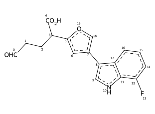 O=CCCC(C(=O)O)c1cc(-c2c[nH]c3c(F)cccc23)co1